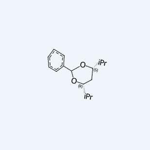 CC(C)[C@@H]1C[C@H](C(C)C)OC(c2ccccc2)O1